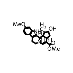 COC(=O)C1=CN2CCc3c([nH]c4cc(OC)ccc34)[C@@H]2[C@@H]2[C@@H](C)[C@@H](O)C[C@H]12